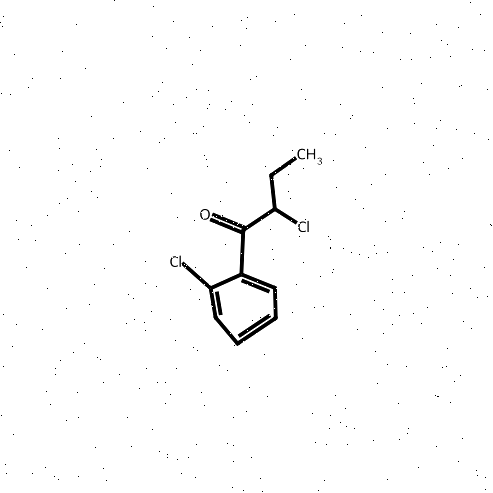 CCC(Cl)C(=O)c1ccccc1Cl